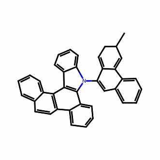 CC1C=c2c(c(-n3c4ccccc4c4c5c6ccccc6ccc5c5ccccc5c43)cc3ccccc23)=CC1